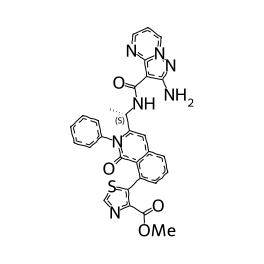 COC(=O)c1ncsc1-c1cccc2cc([C@H](C)NC(=O)c3c(N)nn4cccnc34)n(-c3ccccc3)c(=O)c12